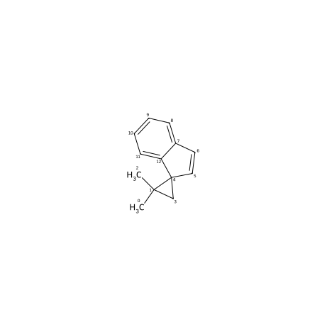 CC1(C)CC12C=Cc1ccccc12